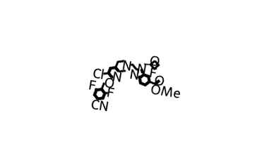 COC(=O)c1ccc2nc(CN3CCc4cc(Cl)c(OCc5c(F)cc(C#N)cc5F)nc4C3)n(C[C@@H]3CCO3)c2c1F